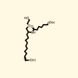 CCCCCCCC/C=C\CCCCCCCCC(COCCO)NC(=O)CCCCCCCCCCCCCCC